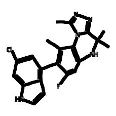 Cc1c(-c2cc(Cl)cc3[nH]ccc23)c(F)cc2c1-n1c(C)nnc1C(C)(C)N2